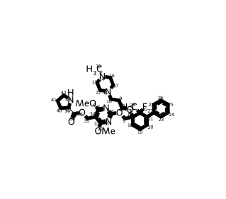 COc1nc(OCC2(OCCCN3CCN(C)CC3)C=CC=C(c3ccccc3)C2(C)F)nc(OC)c1COC(=O)[C@@H]1CCCN1